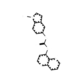 Cn1ccc2cc(NC(=O)Nc3ccnc4cccnc34)ccc21